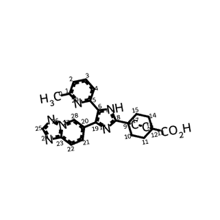 Cc1cccc(-c2[nH]c(C34CCC(C(=O)O)(CC3)CC4)nc2-c2ccc3ncnn3c2)n1